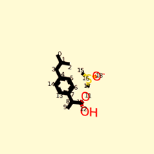 CC(C)Cc1ccc(C(C)C(=O)O)cc1.C[S+](C)[O-]